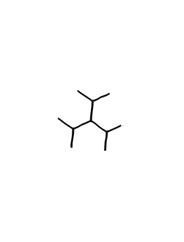 CC(C)C(C(C)C)C(C)F